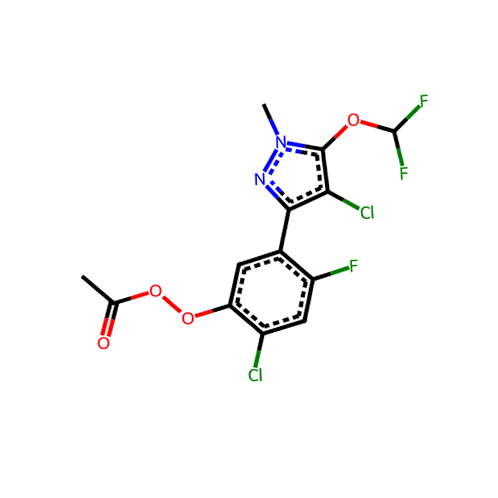 CC(=O)OOc1cc(-c2nn(C)c(OC(F)F)c2Cl)c(F)cc1Cl